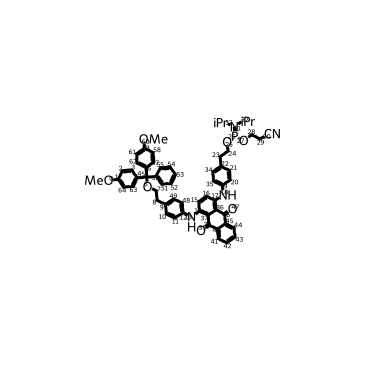 COc1ccc(C(OCCc2ccc(Nc3ccc(Nc4ccc(CCOP(OCCC#N)N(C(C)C)C(C)C)cc4)c4c3C(=O)c3ccccc3C4=O)cc2)(c2ccccc2)c2ccc(OC)cc2)cc1